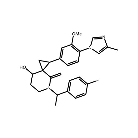 C=C1N(C(C)c2ccc(F)cc2)CCC(O)C12CC2c1ccc(-n2cnc(C)c2)c(OC)c1